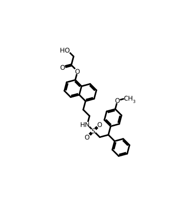 COc1ccc(C(CS(=O)(=O)NCCc2cccc3c(OC(=O)CO)cccc23)c2ccccc2)cc1